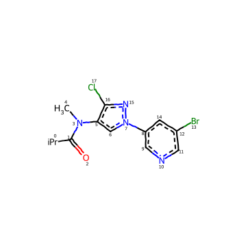 CC(C)C(=O)N(C)c1cn(-c2cncc(Br)c2)nc1Cl